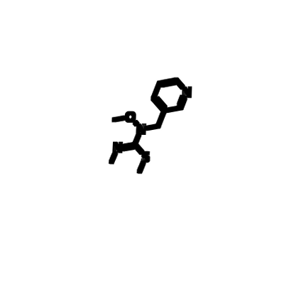 CN=C(SC)N(Cc1cccnc1)OC